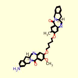 COc1cc2c(cc1OCCCCCOc1cc3c(cc1C)C(=O)N1Cc4ccccc4C[C@H]1C=N3)N=C[C@@H]1Cc3ccc(N)cc3CN1C2=O